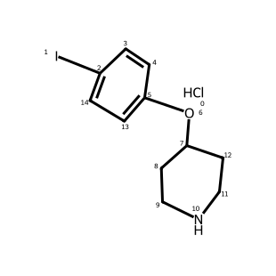 Cl.Ic1ccc(OC2CCNCC2)cc1